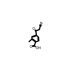 Cc1cc(C(=O)CC#N)ccc1C(=O)O